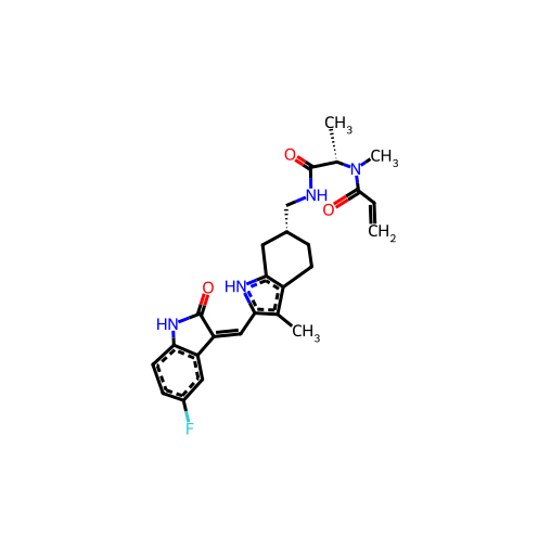 C=CC(=O)N(C)[C@@H](C)C(=O)NC[C@@H]1CCc2c([nH]c(C=C3C(=O)Nc4ccc(F)cc43)c2C)C1